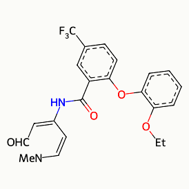 CCOc1ccccc1Oc1ccc(C(F)(F)F)cc1C(=O)NC(/C=C\NC)=C/C=O